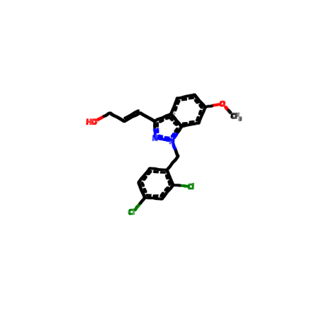 OCC=Cc1nn(Cc2ccc(Cl)cc2Cl)c2cc(OC(F)(F)F)ccc12